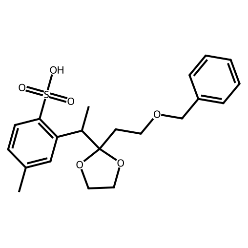 Cc1ccc(S(=O)(=O)O)c(C(C)C2(CCOCc3ccccc3)OCCO2)c1